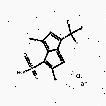 CC1=C2C(=CC(C)=C2S(=O)(=O)O)C(C(F)(F)F)=C1.[Cl-].[Cl-].[Zr+2]